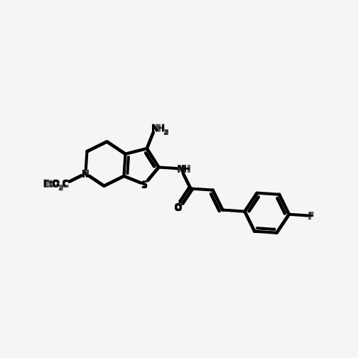 CCOC(=O)N1CCc2c(sc(NC(=O)/C=C/c3ccc(F)cc3)c2N)C1